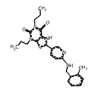 CCCn1c(=O)c2[nH]c(-c3ccc(NCc4ccccc4C)nc3)nc2n(CCC)c1=O